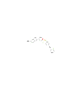 Fc1ccccc1C#Cc1cc(F)c(C(F)(F)Oc2ccc(-c3ccc4c(F)c(C#CC(F)(F)F)c(F)cc4c3)c(F)c2)c(F)c1